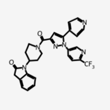 O=C(c1cc(-c2ccncc2)n(-c2ccc(C(F)(F)F)nc2)n1)N1CCC(N2C(=O)Cc3ccccc32)CC1